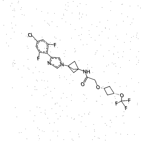 O=C(CO[C@H]1C[C@@H](OC(F)(F)F)C1)NC12CC(n3cnc(-c4c(F)cc(Cl)cc4F)c3)(C1)C2